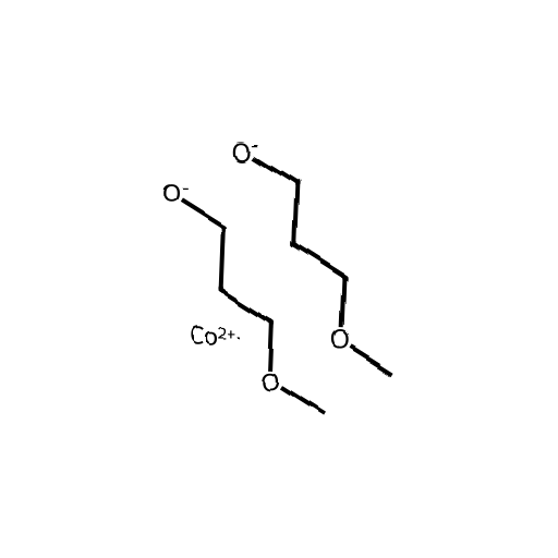 COCCC[O-].COCCC[O-].[Co+2]